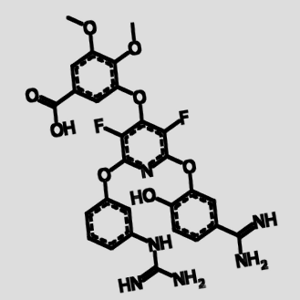 COc1cc(C(=O)O)cc(Oc2c(F)c(Oc3cccc(NC(=N)N)c3)nc(Oc3cc(C(=N)N)ccc3O)c2F)c1OC